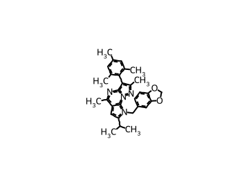 Cc1cc(C)c(-c2c(C)nn3c2nc(C)c2cc(C(C)C)n(Cc4ccc5c(c4)OCO5)c23)c(C)c1